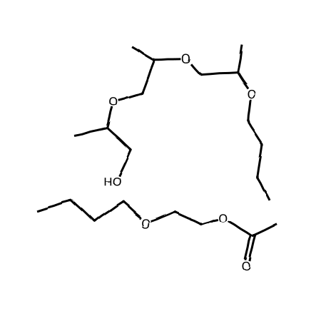 CCCCOC(C)COC(C)COC(C)CO.CCCCOCCOC(C)=O